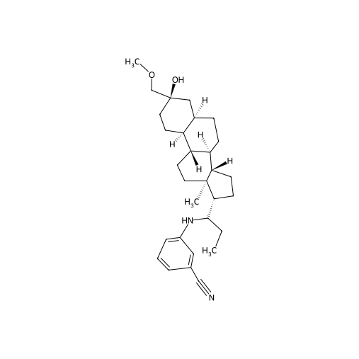 CCC(Nc1cccc(C#N)c1)[C@H]1CC[C@H]2[C@@H]3CC[C@@H]4C[C@@](O)(COC)CC[C@@H]4[C@H]3CC[C@]12C